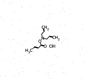 C=CCN(CC=C)OC(=O)/C=C/C.Cl